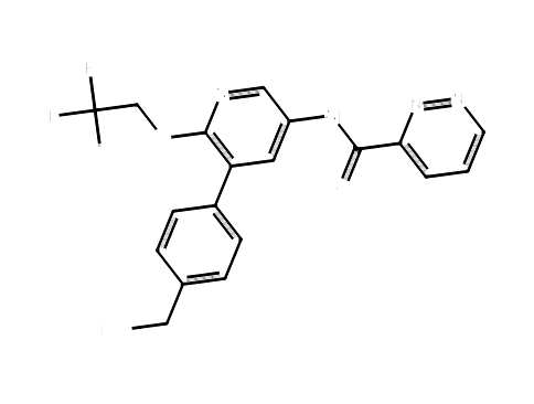 CCc1ccc(-c2cc(NC(=O)c3cccnn3)cnc2OCC(F)(F)F)cc1